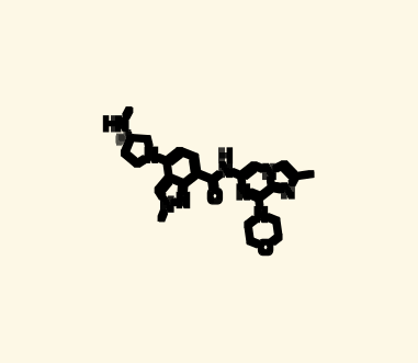 CN[C@H]1CCN(c2ccc(C(=O)Nc3cn4cc(C)nc4c(N4CCOCC4)n3)c3nn(C)cc23)C1